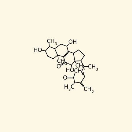 C=C(CCC(C)C1CCC2C3=C(C(=O)C(O)C21C)C1(C)CCC(O)C(C)C1CC3O)C(C)C(C)=O